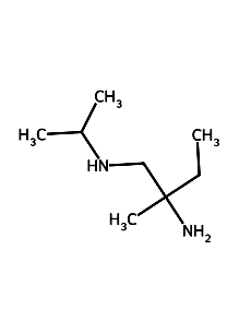 CCC(C)(N)CNC(C)C